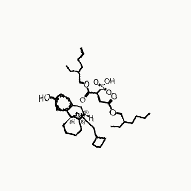 CCCCC(CC)COC(=O)CC(C(=O)OCC(CC)CCCC)S(=O)(=O)O.Oc1ccc2c(c1)[C@@]13CCCC[C@@]1(O)[C@@H](C2)N(CC1CCC1)CC3